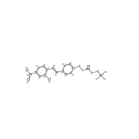 C[N+](C)(C)CCNCCc1ccc(N=Nc2ccc([N+](=O)[O-])cc2Cl)cc1